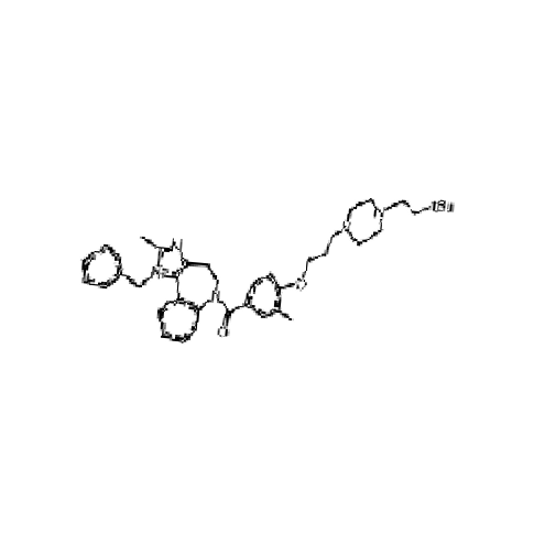 Cc1cc(C(=O)N2CCc3nc(C)n(Cc4ccccc4)c3-c3ccccc32)ccc1OCCCN1CCN(CCC(C)(C)C)CC1